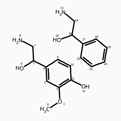 COc1cc(C(O)CN)ccc1O.NCC(O)c1ccccc1